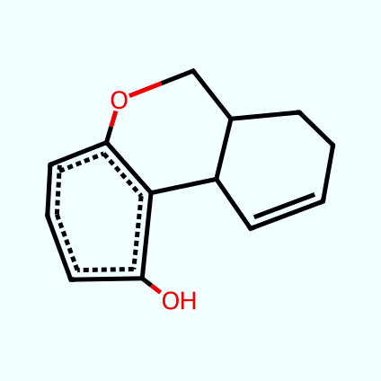 Oc1cccc2c1C1C=CCCC1CO2